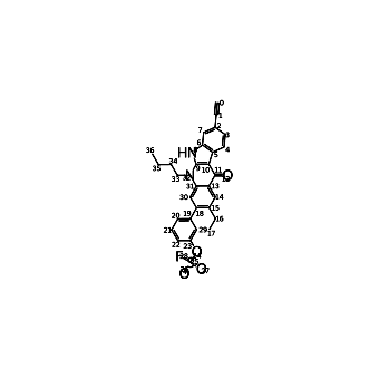 C#Cc1ccc2c(c1)[nH]c1c2c(=O)c2cc(CC)c(-c3cccc(OS(=O)(=O)F)c3)cc2n1CCCC